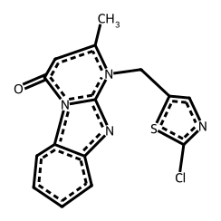 Cc1cc(=O)n2c3ccccc3nc2n1Cc1cnc(Cl)s1